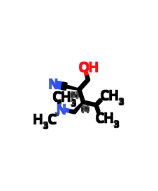 CC(C)[C@@H](CN(C)C)[C@@H](C#N)CO